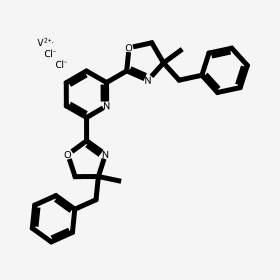 CC1(Cc2ccccc2)COC(c2cccc(C3=NC(C)(Cc4ccccc4)CO3)n2)=N1.[Cl-].[Cl-].[V+2]